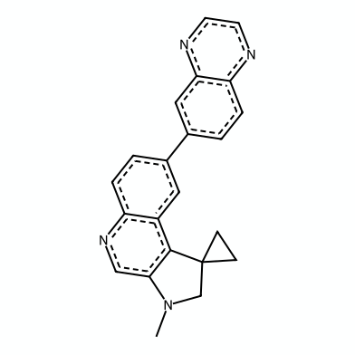 CN1CC2(CC2)c2c1cnc1ccc(-c3ccc4nccnc4c3)cc21